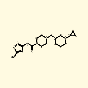 CC(C)(C)c1cc(NC(=O)N2CCN(C[C@@H]3CCCN(C4CC4)C3)CC2)no1